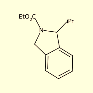 CCOC(=O)N1Cc2ccccc2C1C(C)C